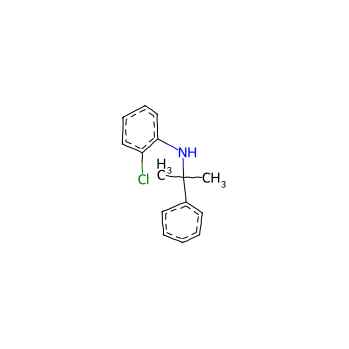 CC(C)(Nc1ccccc1Cl)c1ccccc1